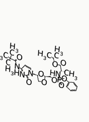 CC(C)OC(=O)[C@H](C)NP(=O)(OC[C@H]1OC[C@@H](n2ccc(NC(=O)C(C)(C)C)nc2=O)O1)Oc1ccccc1